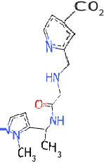 CC(NC(=O)CNCc1cc(C(=O)O)ccn1)c1ccnn1C